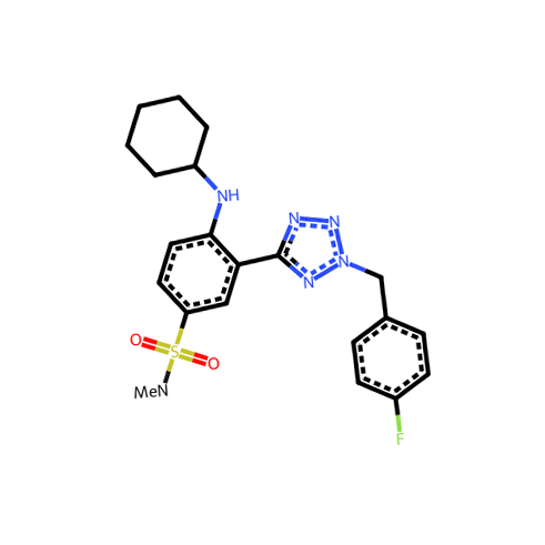 CNS(=O)(=O)c1ccc(NC2CCCCC2)c(-c2nnn(Cc3ccc(F)cc3)n2)c1